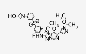 CCOC(C)n1cc(-c2ncn3nc(Nc4ccc(S(=O)(=O)c5cccc(N6CC(O)C6)c5)cc4F)nc3c2OC(C)C)cn1